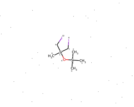 C[Si](C)(C)O[Si](C)(CI)CI